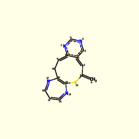 C=C1/C=c2/cncn/c2=C/CC2=C(N=C=CC=N2)S1